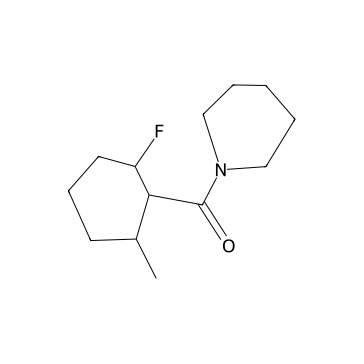 CC1CCCC(F)C1C(=O)N1CCCCC1